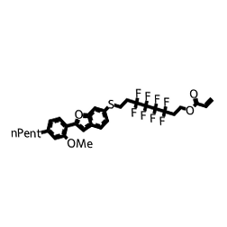 C=CC(=O)OCCC(F)(F)C(F)(F)C(F)(F)C(F)(F)CCSc1ccc2cc(-c3ccc(CCCCC)cc3OC)oc2c1